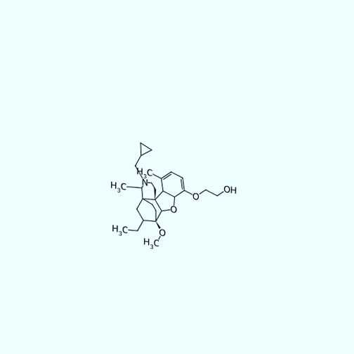 CCC1CC23CC[C@]1(OC)C1OC4C(OCCO)=CC=C(C)C4[C@]12CCN(CC1CC1)C3C